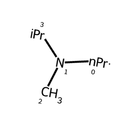 CC[CH]N(C)C(C)C